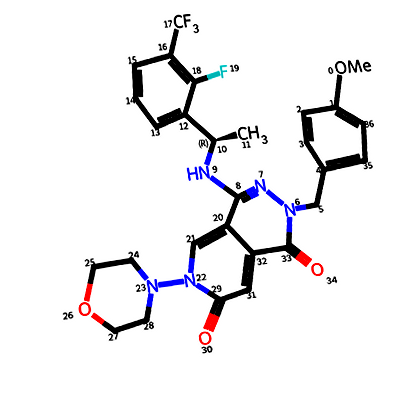 COc1ccc(Cn2nc(N[C@H](C)c3cccc(C(F)(F)F)c3F)c3cn(N4CCOCC4)c(=O)cc3c2=O)cc1